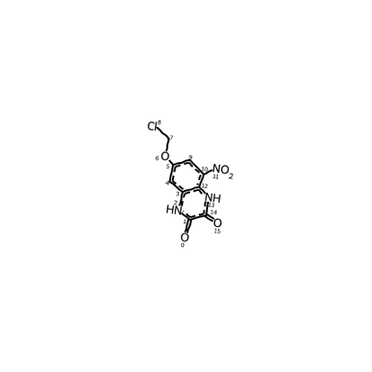 O=c1[nH]c2cc(OCCl)cc([N+](=O)[O-])c2[nH]c1=O